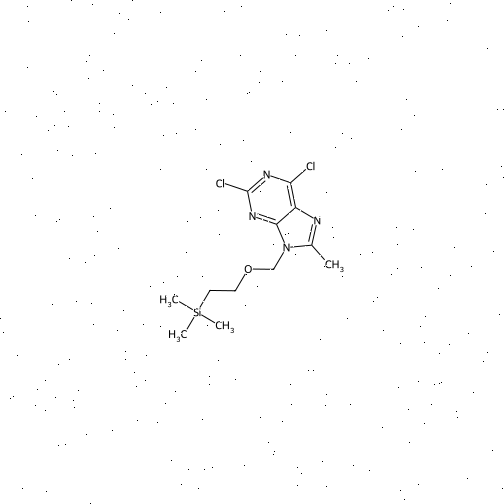 Cc1nc2c(Cl)nc(Cl)nc2n1COCC[Si](C)(C)C